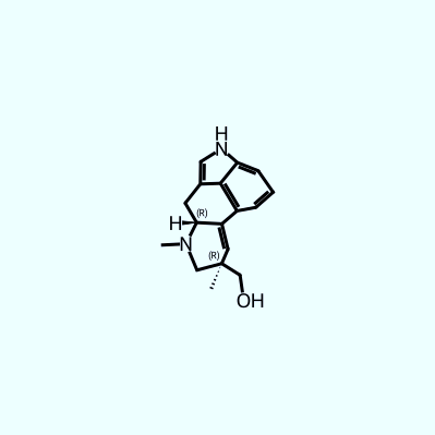 CN1C[C@](C)(CO)C=C2c3cccc4[nH]cc(c34)C[C@H]21